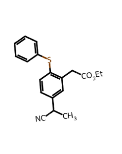 CCOC(=O)Cc1cc(C(C)C#N)ccc1Sc1ccccc1